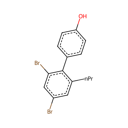 CCCc1cc(Br)cc(Br)c1-c1ccc(O)cc1